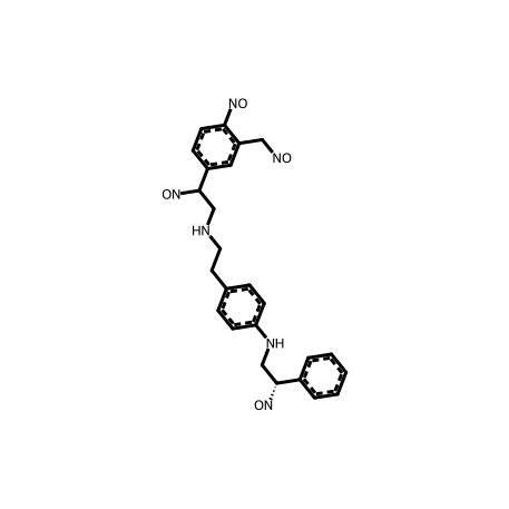 O=NCc1cc(C(CNCCc2ccc(NC[C@@H](N=O)c3ccccc3)cc2)N=O)ccc1N=O